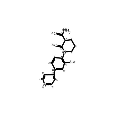 NC(=O)C1CCCN(c2ccc(-c3ccncc3)cc2F)C1=O